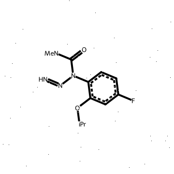 CNC(=O)N(N=N)c1ccc(F)cc1OC(C)C